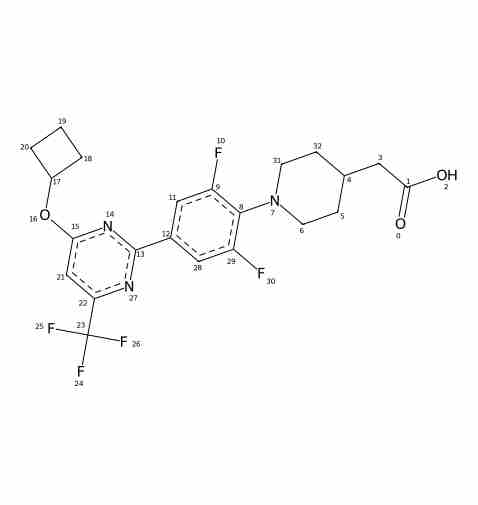 O=C(O)CC1CCN(c2c(F)cc(-c3nc(OC4CCC4)cc(C(F)(F)F)n3)cc2F)CC1